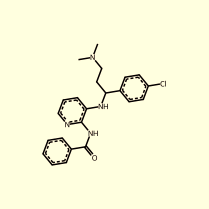 CN(C)CCC(Nc1cccnc1NC(=O)c1ccccc1)c1ccc(Cl)cc1